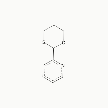 c1ccc(C2OCCCS2)nc1